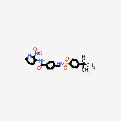 CC(C)(C)c1ccc(S(=O)(=O)NCc2ccc(C(=O)Nc3cccnc3[N+](=O)[O-])cc2)cc1